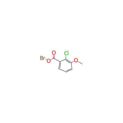 COc1cccc(C(=O)OBr)c1Cl